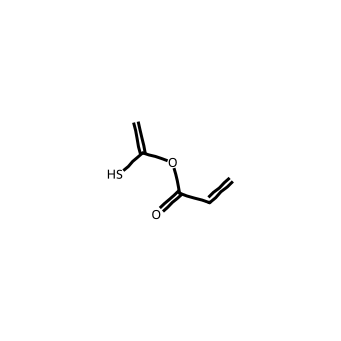 C=CC(=O)OC(=C)S